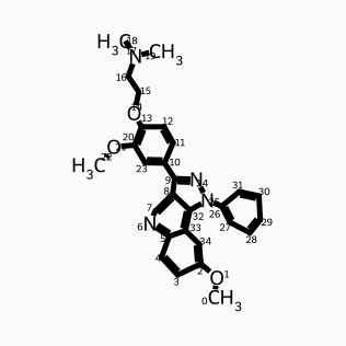 COc1ccc2ncc3c(-c4ccc(OCCN(C)C)c(OC)c4)nn(-c4ccccc4)c3c2c1